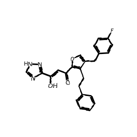 O=C(C=C(O)c1nc[nH]n1)c1occ(Cc2ccc(F)cc2)c1CCc1ccccc1